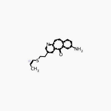 C/C=C\SCCc1cnc2ccc3ccc(N)cc3c(=O)c2c1